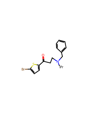 CC(C)N(CCC(=O)c1ccc(Br)s1)Cc1ccccc1